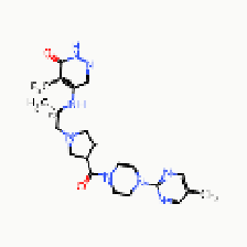 C[C@@H](CN1CCC(C(=O)N2CCN(c3ncc(C(F)(F)F)cn3)CC2)C1)Nc1cn[nH]c(=O)c1C(F)(F)F